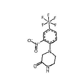 O=C1CN(c2ccc(S(F)(F)(F)(F)F)cc2[N+](=O)[O-])CCN1